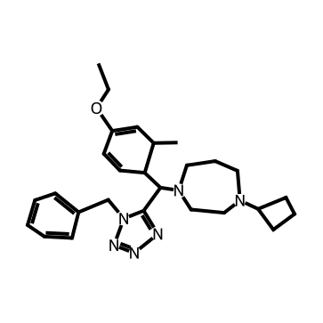 CCOC1=CC(C)C(C(c2nnnn2Cc2ccccc2)N2CCCN(C3CCC3)CC2)C=C1